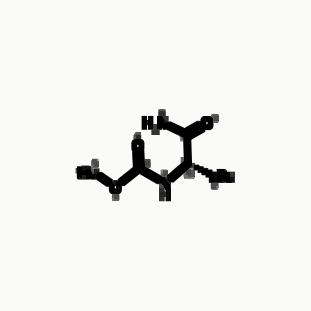 CCCC[C@H](NC(=O)OC(C)(C)C)C(N)=O